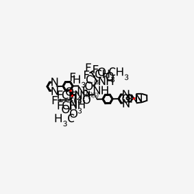 COC(=O)N[C@H](C(=O)N[C@@H](Cc1ccc(-c2cnc(N3CC4CCC(C3)N4C3COC3)nc2)cc1)[C@@H](O)CN(Cc1c(F)cc(-c2ncccn2)cc1F)NC(=O)[C@@H](NC(=O)OC)C(C)(C)C(F)(F)F)C(C)(C)C(F)(F)F